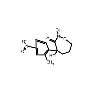 Cc1cc([N+](=O)[O-])ccc1C1(O)CCCCN(O)C1=O